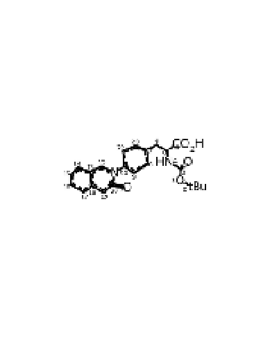 CC(C)(C)OC(=O)N[C@@H](Cc1ccc(-n2cc3ccccc3cc2=O)cc1)C(=O)O